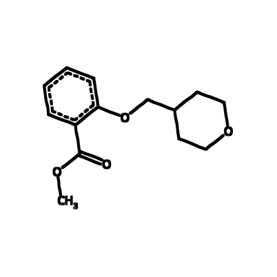 COC(=O)c1ccccc1OCC1CCOCC1